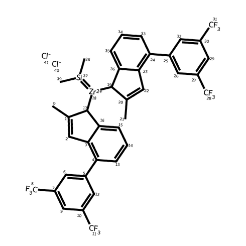 CC1=Cc2c(-c3cc(C(F)(F)F)cc(C(F)(F)F)c3)cccc2[CH]1[Zr+2]([CH]1C(C)=Cc2c(-c3cc(C(F)(F)F)cc(C(F)(F)F)c3)cccc21)=[Si](C)C.[Cl-].[Cl-]